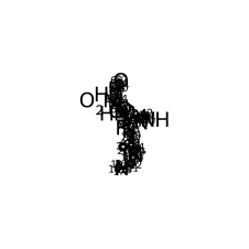 CC(C)c1ccccc1[C@@H]1CN(Cc2ccc(CN3CCCC3)cc2)CCN1C1CC2(CCN(c3cc(Oc4cnc5[nH]ccc5c4)c(C(=O)NS(=O)(=O)c4ccc(NCC5(F)CCOCC5)c([N+](=O)[O-])c4)cc3F)CC2)C1